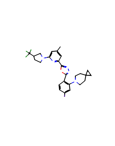 Cc1cc(-c2nnc(-c3ccc(I)cc3N3CCC4(CC3)CC4)o2)nc(N2CCC(C(F)(F)F)C2)c1